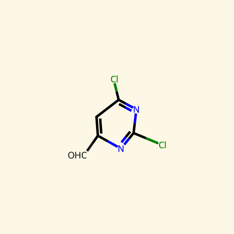 O=Cc1cc(Cl)nc(Cl)n1